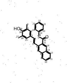 Cc1cc(/C=C/c2cc3ccccc3cc2C(=O)Sc2ccccc2)cc(C)c1O